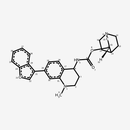 CN1CCC(NC(=O)O[C@@H]2CN3CCC2CC3)c2ccc(-c3coc4ccccc34)cc21